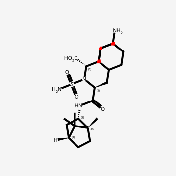 CC1(C)[C@@H]2CC[C@@]1(C)[C@@H](NC(=O)[C@H](CC1CCCCC1)N([C@@H](CCCN)C(=O)O)S(N)(=O)=O)C2